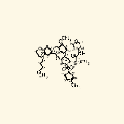 COCCCN1CCOc2ccc(CO[C@H]3CN(S(=O)(=O)c4ccc(C)cc4)[C@@H](C[C@@H](C)C(=O)NC4CCOCC4)C[C@@H]3c3ccc(OC)cc3)cc21